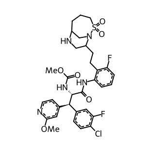 COC(=O)N[C@H](C(=O)Nc1cccc(F)c1CCC1CNC2CCCS(=O)(=O)N1C2)[C@H](c1ccnc(OC)c1)c1ccc(Cl)c(F)c1